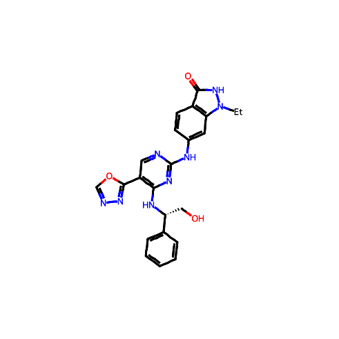 CCn1[nH]c(=O)c2ccc(Nc3ncc(-c4nnco4)c(N[C@H](CO)c4ccccc4)n3)cc21